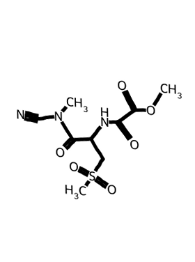 COC(=O)C(=O)NC(CS(C)(=O)=O)C(=O)N(C)C#N